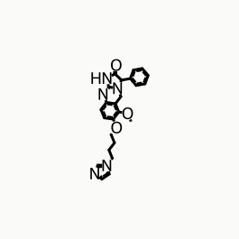 COc1c(OCCCCn2ccnc2)ccc2c1CN1C(=N2)NC(=O)C1c1ccccc1